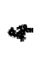 CC(C)c1c(C(=O)O)cc2n1CC(Cc1ccccc1)OC2(C)C